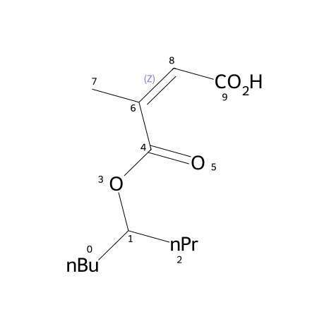 CCCCC(CCC)OC(=O)/C(C)=C\C(=O)O